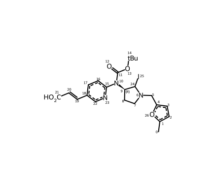 Cc1ccc(CN2CC[C@@H](N(C(=O)OC(C)(C)C)c3ccc(C=CC(=O)O)cn3)C2I)o1